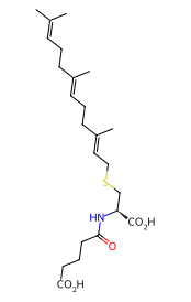 CC(C)=CCC/C(C)=C/CC/C(C)=C/CSC[C@H](NC(=O)CCCC(=O)O)C(=O)O